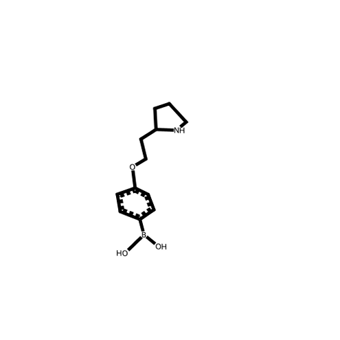 OB(O)c1ccc(OCCC2CCCN2)cc1